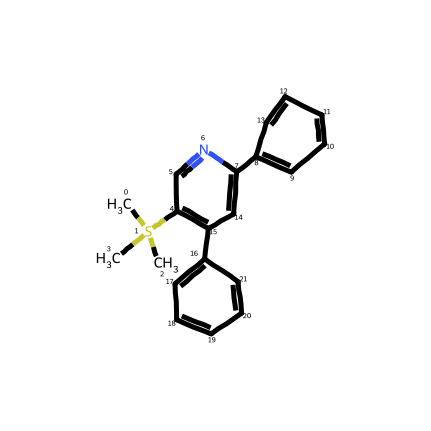 CS(C)(C)c1cnc(-c2ccccc2)cc1-c1ccccc1